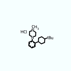 CN1CCN(c2ccccc2C2CCC(C(C)(C)C)CC2)CC1.Cl